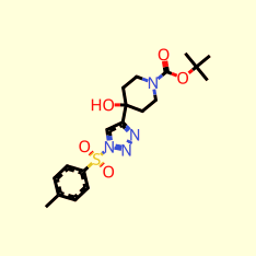 Cc1ccc(S(=O)(=O)n2cc(C3(O)CCN(C(=O)OC(C)(C)C)CC3)nn2)cc1